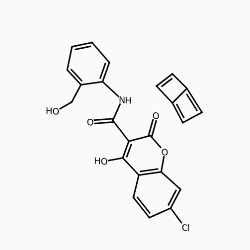 O=C(Nc1ccccc1CO)c1c(O)c2ccc(Cl)cc2oc1=O.c1cc2ccc1-2